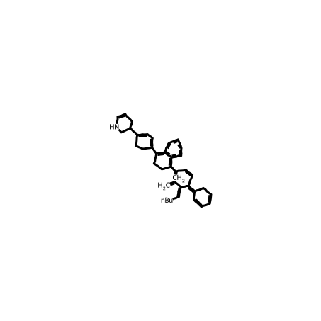 C=CC(=C\CCCC)/C(/C=C\C(=C)C1=c2ccccc2=C(C2=CC=C(C3CC=CNC3)CC2)CC1)=C1\C=CC=CC1